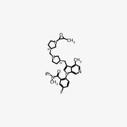 Cc1cncc2c1c(C[C@H]1CCN(C[C@H]3CCN(C4OC4C)C3)C1)cn2-c1ccc(F)cc1C(=O)N(C)C(C)C